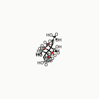 O=P(O)(O)CCC(C(C(CP(=O)(O)O)(P(=O)(O)O)P(=O)(O)O)(P(=O)(O)O)P(=O)(O)O)(P(=O)(O)O)P(=O)(O)O